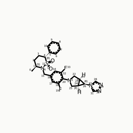 C[C@H]1CC[C@H](c2ccccc2)S(=O)(=O)N1Cc1cc(F)c(N2C[C@@H]3[C@H](C2)[C@@H]3n2cnnc2)c(F)c1